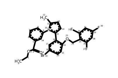 CCOC(=O)c1cccc(-n2c(C)ccc2-c2cc(Br)ccc2OCc2c(F)cc(F)cc2F)c1